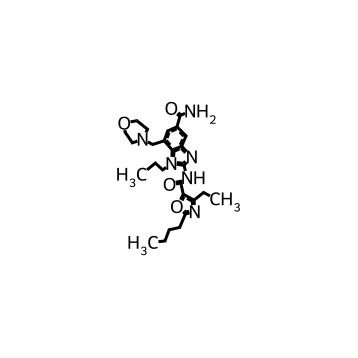 CCCCc1nc(CC)c(C(=O)Nc2nc3cc(C(N)=O)cc(CN4CCOCC4)c3n2CCC)o1